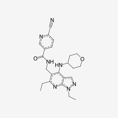 CCc1nc2c(cnn2CC)c(NC2CCOCC2)c1CNC(=O)c1ccc(C#N)nc1